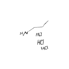 CCCN.Cl.Cl.Cl